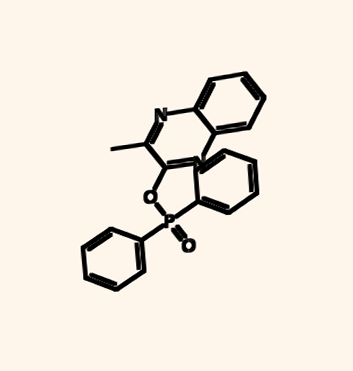 Cc1nc2ccccc2nc1OP(=O)(c1ccccc1)c1ccccc1